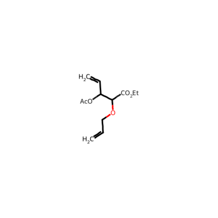 C=CCOC(C(=O)OCC)C(C=C)OC(C)=O